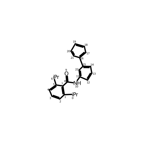 CC(C)c1cccc(C(C)C)c1C(=O)Nc1cccc(-c2ccccc2)c1